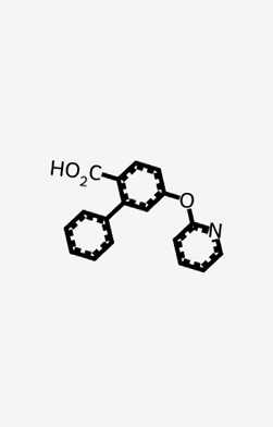 O=C(O)c1ccc(Oc2ccccn2)cc1-c1ccccc1